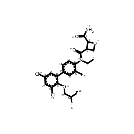 CCN(C(=O)C1COC1C(N)=O)c1ccc(-c2cc(Cl)cc(Cl)c2OCC(F)F)cc1F